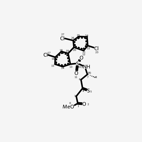 COC(=O)CC(=S)C[C@@H](C)NS(=O)(=O)c1ccc(Cl)cc1-c1cc(Cl)ccc1Cl